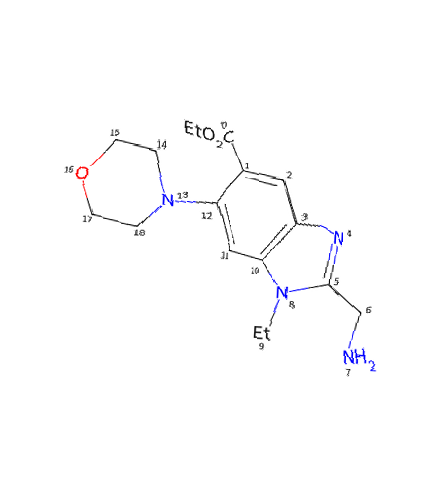 CCOC(=O)c1cc2nc(CN)n(CC)c2cc1N1CCOCC1